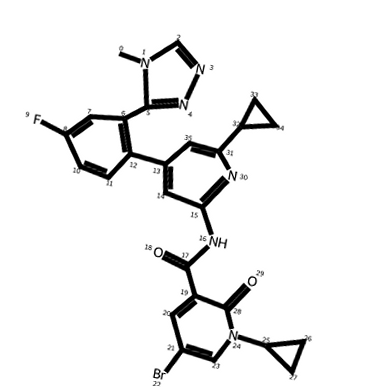 Cn1cnnc1-c1cc(F)ccc1-c1cc(NC(=O)c2cc(Br)cn(C3CC3)c2=O)nc(C2CC2)c1